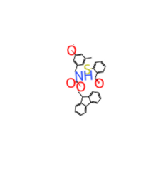 COc1cc(C)c(Sc2ccccc2C=O)c(CNC(=O)OCC2c3ccccc3-c3ccccc32)c1